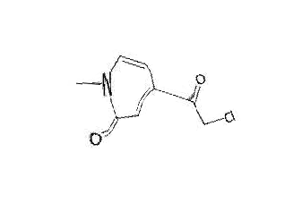 Cn1ccc(C(=O)CCl)cc1=O